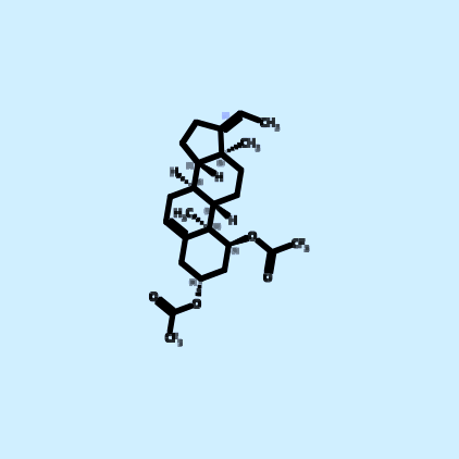 C/C=C1/CC[C@H]2[C@@H]3CC=C4C[C@@H](OC(=O)C(F)(F)F)C[C@H](OC(=O)C(F)(F)F)[C@]4(C)[C@H]3CC[C@]12C